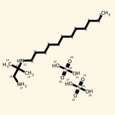 CCCCCCCCCCCCNC(C)(C)CN.O=S(=O)(O)O.O=S(=O)(O)O